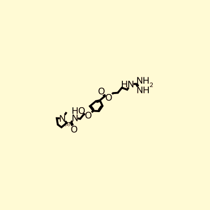 CN1CCC[C@H]1C(=O)NCC(=O)Oc1ccc(C(=O)OCCCCNC(=N)N)cc1